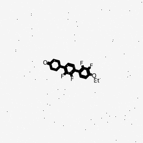 CCOc1ccc(-c2ccc(C3CCC(=O)CC3)c(F)c2F)c(F)c1F